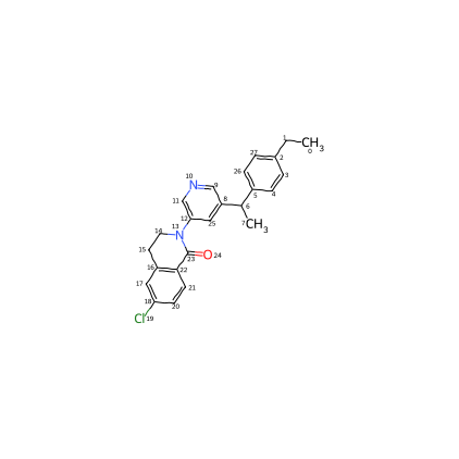 CCc1ccc(C(C)c2cncc(N3CCc4cc(Cl)ccc4C3=O)c2)cc1